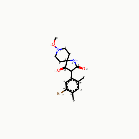 CON1CCC2(CC1)NC(=O)C(c1cc(Br)c(C)cc1C)C2=O